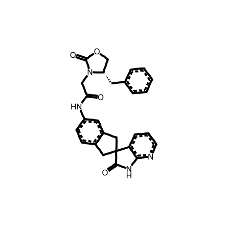 O=C(CN1C(=O)OC[C@@H]1Cc1ccccc1)Nc1ccc2c(c1)CC1(C2)C(=O)Nc2ncccc21